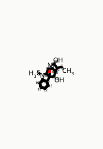 CCC1C2CC3C4N(C)c5ccccc5C4(CCN3C1O)C2O